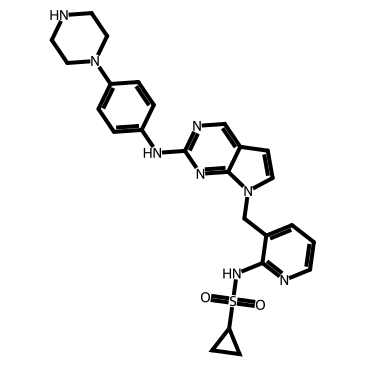 O=S(=O)(Nc1ncccc1Cn1ccc2cnc(Nc3ccc(N4CCNCC4)cc3)nc21)C1CC1